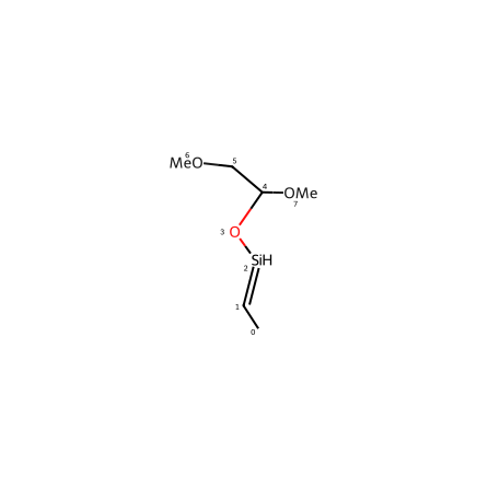 CC=[SiH]OC(COC)OC